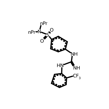 CCCN(CCC)S(=O)(=O)c1ccc(NC(=N)Nc2ccccc2C(F)(F)F)cc1